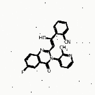 Cc1ncccc1-n1c(/C=C(\O)c2ccccc2C#N)nc2ccc(F)cc2c1=O